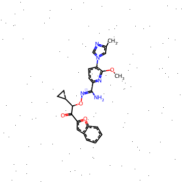 COc1nc(/C(N)=N/OC(C(=O)c2cc3ccccc3o2)C2CC2)ccc1-n1cnc(C)c1